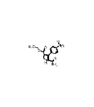 CCOC(=O)c1c[nH]c(C(N)=O)c1-c1ccc([N+](=O)[O-])cc1